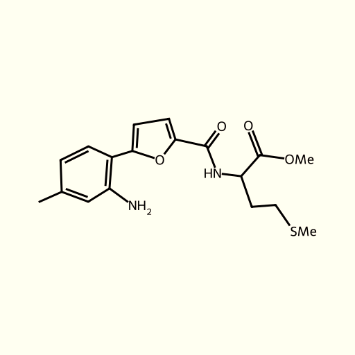 COC(=O)C(CCSC)NC(=O)c1ccc(-c2ccc(C)cc2N)o1